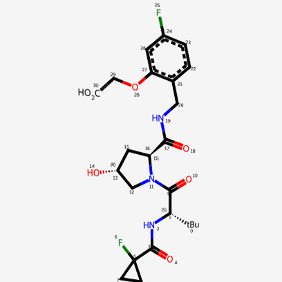 CC(C)(C)[C@H](NC(=O)C1(F)CC1)C(=O)N1C[C@H](O)C[C@H]1C(=O)NCc1ccc(F)cc1OCC(=O)O